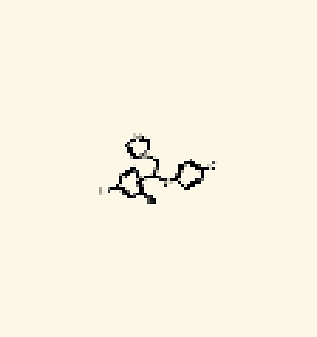 Clc1ccc(SC(Cn2ccnc2)c2ccc(Br)cc2Br)cc1